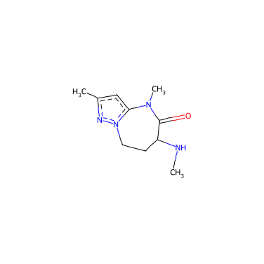 CNC1CCn2nc(C)cc2N(C)C1=O